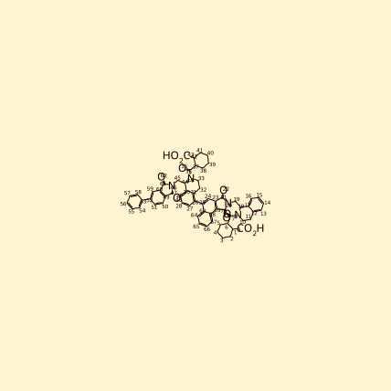 O=C(O)C1CCCCC1C(=O)N1CCc2ccccc2C1CN1C(=O)c2cc(-c3cccc4c3CCN(C(=O)C3CCCCC3C(=O)O)C4CN3C(=O)c4ccc(-c5ccccc5)cc4C3=O)c3ccccc3c2C1=O